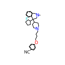 CN1Cc2cccc(F)c2C(C2CCCC2)(C2CCN(CCCCOc3ccc(C#N)cc3)CC2)C1